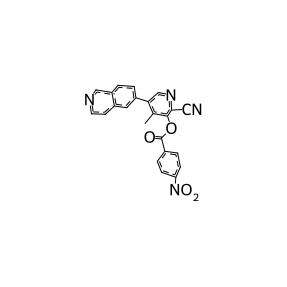 Cc1c(-c2ccc3cnccc3c2)cnc(C#N)c1OC(=O)c1ccc([N+](=O)[O-])cc1